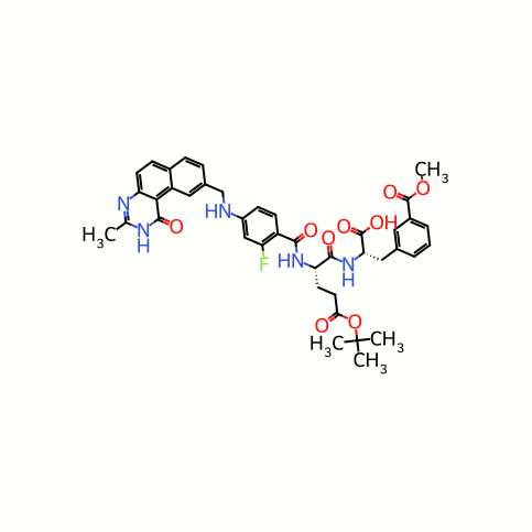 COC(=O)c1cccc(C[C@H](NC(=O)[C@H](CCC(=O)OC(C)(C)C)NC(=O)c2ccc(NCc3ccc4ccc5nc(C)[nH]c(=O)c5c4c3)cc2F)C(=O)O)c1